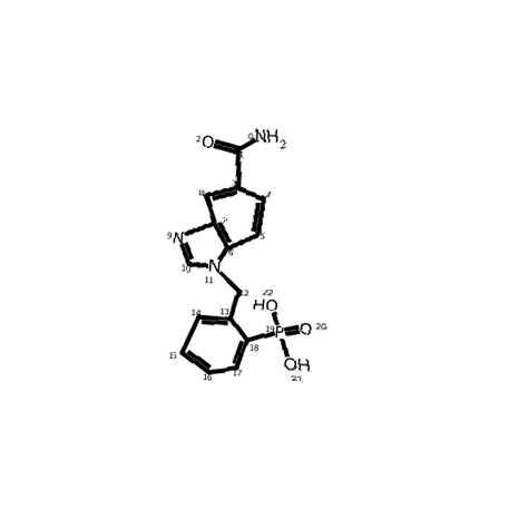 NC(=O)c1ccc2c(c1)ncn2Cc1ccccc1P(=O)(O)O